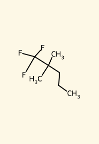 CCCC(C)(C)C(F)(F)F